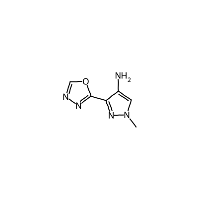 Cn1cc(N)c(-c2nnco2)n1